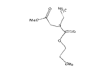 COCCOC(=O)N(CC(=O)O)CC(=O)OC